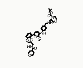 COc1nc(-c2cccc3c2OC(CNC(=O)C2CCOCC2)CO3)ccc1Nc1ccc(CNCC2COCCN2C(=O)OC(C)(C)C)cc1